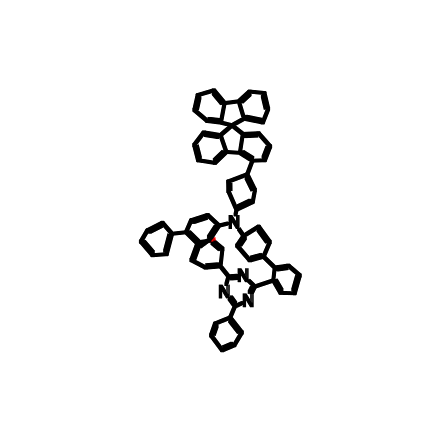 c1ccc(-c2ccc(N(c3ccc(-c4ccccc4-c4nc(-c5ccccc5)nc(-c5ccccc5)n4)cc3)c3ccc(-c4cccc5c4-c4ccccc4C54c5ccccc5-c5ccccc54)cc3)cc2)cc1